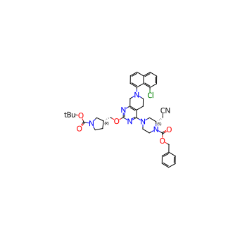 CC(C)(C)OC(=O)N1CC[C@@H](COc2nc3c(c(N4CCN(C(=O)OCc5ccccc5)[C@@H](CC#N)C4)n2)CCN(c2cccc4cccc(Cl)c24)C3)C1